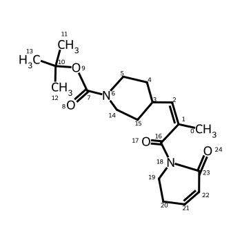 CC(=CC1CCN(C(=O)OC(C)(C)C)CC1)C(=O)N1CCC=CC1=O